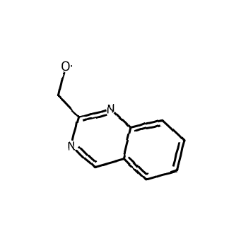 [O]Cc1ncc2ccccc2n1